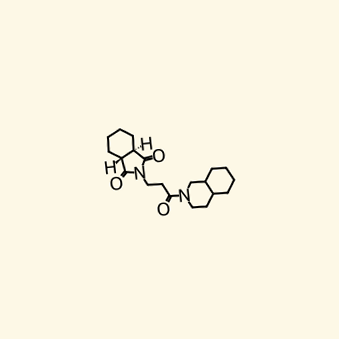 O=C(CCN1C(=O)[C@@H]2CCCC[C@H]2C1=O)N1CCC2CCCCC2C1